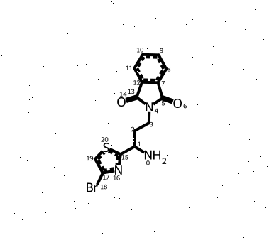 NC(CCN1C(=O)c2ccccc2C1=O)c1nc(Br)cs1